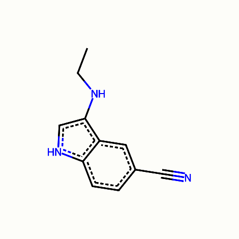 CCNc1c[nH]c2ccc(C#N)cc12